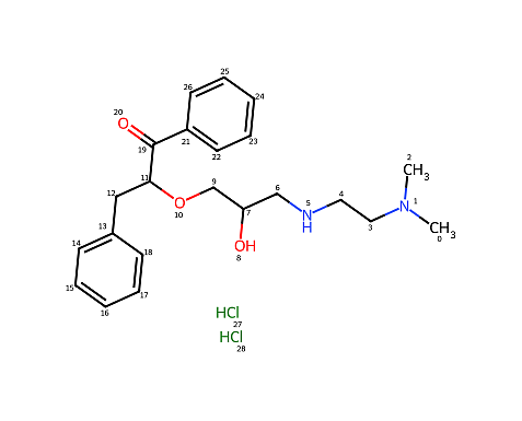 CN(C)CCNCC(O)COC(Cc1ccccc1)C(=O)c1ccccc1.Cl.Cl